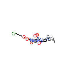 CN(C)c1ccc(/C=C2N=C(/C=C/C3OCCO3)N(C3CCC(C(=O)NCCOCCOCCCCCCCl)CC3)C\2=O)cc1